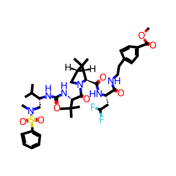 COC(=O)c1ccc(CCNC(=O)[C@H](CC(F)F)NC(=O)[C@@H]2[C@@H]3[C@H](CN2C(=O)[C@@H](NC(=O)N[C@H](CN(C)S(=O)(=O)c2ccccc2)C(C)C)C(C)(C)C)C3(C)C)cc1